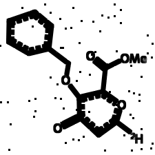 [2H]c1cc(=O)c(OCc2ccccc2)c(C(=O)OC)o1